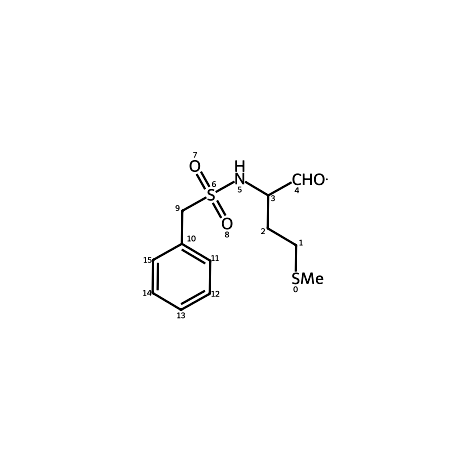 CSCCC([C]=O)NS(=O)(=O)Cc1ccccc1